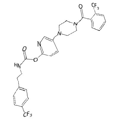 O=C(NCCc1ccc(C(F)(F)F)cc1)Oc1ccc(N2CCN(C(=O)c3ccccc3C(F)(F)F)CC2)cn1